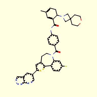 CC1=CCC(N2CC3(CCOCC3)C2)C(C(=O)Nc2ccc(C(=O)N3CCc4cc(-c5cnc6[nH]ncc6c5)sc4-c4ccc(F)cc43)cc2)=C1